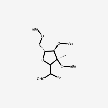 CCCCOC[C@H]1OC(C(Br)C=O)[C@](C)(OCCCC)[C@@H]1OCCCC